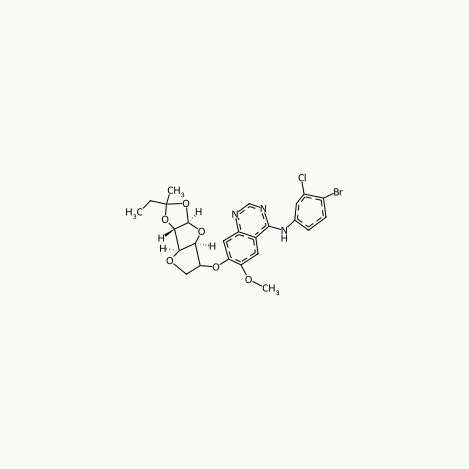 CCC1(C)O[C@H]2O[C@H]3C(Oc4cc5ncnc(Nc6ccc(Br)c(Cl)c6)c5cc4OC)CO[C@H]3[C@@H]2O1